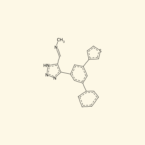 C/N=C/c1[nH]nnc1-c1cc(-c2ccccc2)cc(-c2ccsc2)c1